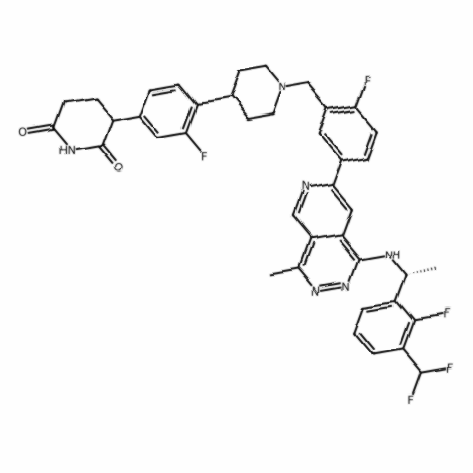 Cc1nnc(N[C@H](C)c2cccc(C(F)F)c2F)c2cc(-c3ccc(F)c(CN4CCC(c5ccc(C6CCC(=O)NC6=O)cc5F)CC4)c3)ncc12